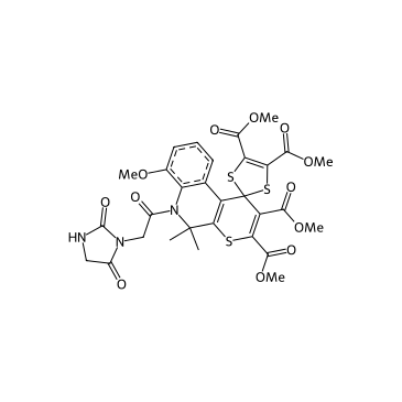 COC(=O)C1=C(C(=O)OC)SC2(S1)C(C(=O)OC)=C(C(=O)OC)SC1=C2c2cccc(OC)c2N(C(=O)CN2C(=O)CNC2=O)C1(C)C